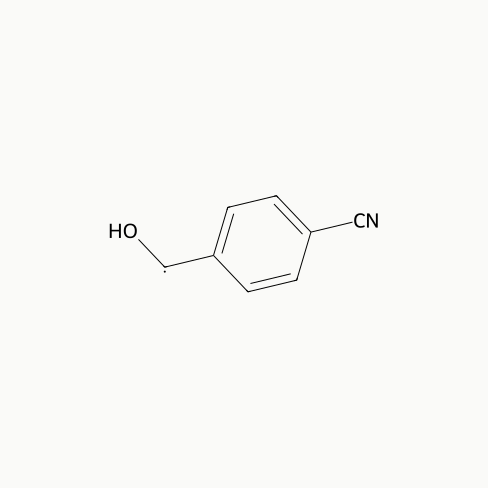 N#Cc1ccc([CH]O)cc1